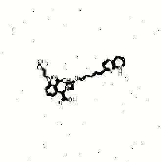 COCCn1nc(C)c2c(C(C(=O)O)N3CC(OCCCCCc4ccc5c(n4)NCCC5)C3)cccc21